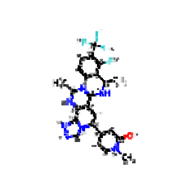 Cc1nc(N[C@H](C)c2cccc(C(F)(F)F)c2F)c2cc(-c3ccn(C)c(=O)c3)n3cnnc3c2n1